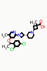 Cc1cnc(N2CC([C@H]3CCCN(C4CC(C)(C(=O)O)C4)C3)C2)cc1O[C@H](C)c1ccc(Cl)cc1Cl